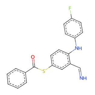 N=Cc1cc(SC(=O)c2ccccc2)ccc1Nc1ccc(F)cc1